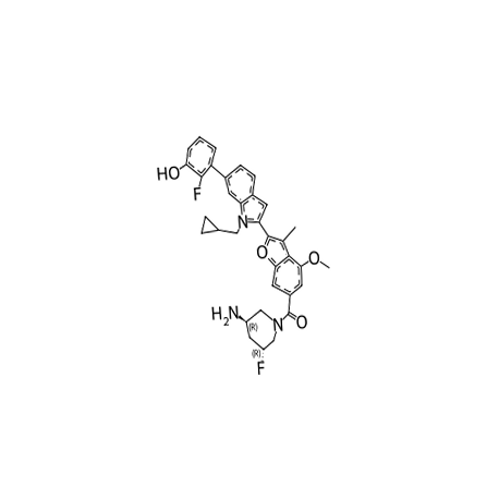 COc1cc(C(=O)N2C[C@H](N)C[C@@H](F)C2)cc2oc(-c3cc4ccc(-c5cccc(O)c5F)cc4n3CC3CC3)c(C)c12